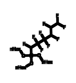 CCCCCCO[Si](OCCCCCC)(OCCCCCC)C(F)C(F)(F)C(F)(F)C(F)C(F)C(F)F